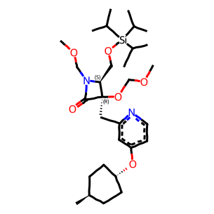 COCO[C@@]1(Cc2cc(O[C@H]3CC[C@H](C)CC3)ccn2)C(=O)N(COC)[C@H]1CO[Si](C(C)C)(C(C)C)C(C)C